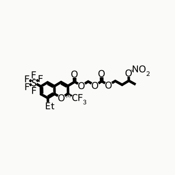 CCc1cc(S(F)(F)(F)(F)F)cc2c1O[C@H](C(F)(F)F)C(C(=O)OCOC(=O)OCCC(C)O[N+](=O)[O-])=C2